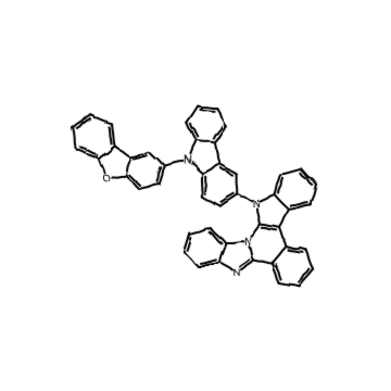 c1ccc2c(c1)nc1c3ccccc3c3c4ccccc4n(-c4ccc5c(c4)c4ccccc4n5-c4ccc5oc6ccccc6c5c4)c3n21